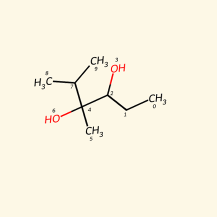 CCC(O)C(C)(O)C(C)C